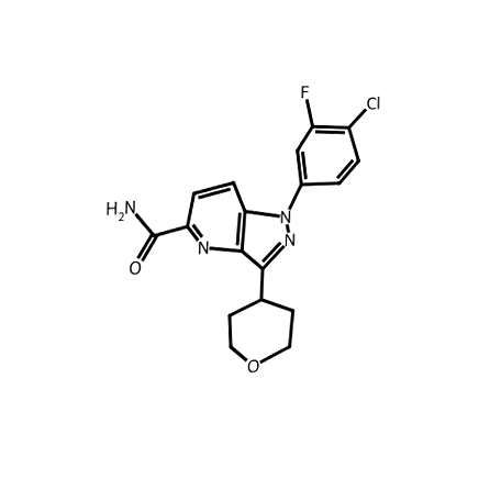 NC(=O)c1ccc2c(n1)c(C1CCOCC1)nn2-c1ccc(Cl)c(F)c1